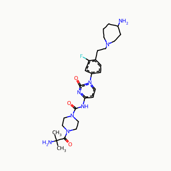 CC(C)(N)C(=O)N1CCN(C(=O)Nc2ccn(-c3ccc(CCN4CCCC(N)CC4)c(F)c3)c(=O)n2)CC1